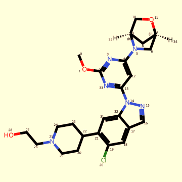 COc1nc(N2C[C@H]3C[C@@H]2CO3)cc(-n2ncc3cc(Cl)c(C4CCN(CCO)CC4)cc32)n1